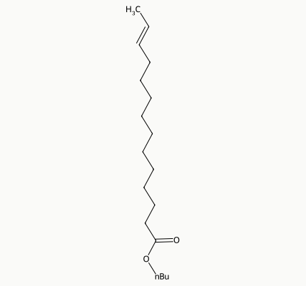 CC=CCCCCCCCCCCC(=O)OCCCC